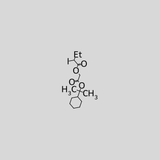 CCC(I)C(=O)OCC(=O)OC(C)(C)C1CCCCC1